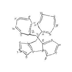 C1=S=CC2=C1c1ccccc1C2(c1ccccc1)c1ccccc1